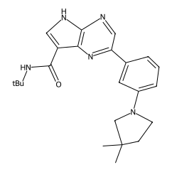 CC1(C)CCN(c2cccc(-c3cnc4[nH]cc(C(=O)NC(C)(C)C)c4n3)c2)C1